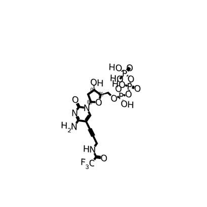 Nc1nc(=O)n([C@H]2C[C@H](O)[C@@H](COP(=O)(O)OP(=O)(O)OP(=O)(O)O)O2)cc1C#CCNC(=O)C(F)(F)F